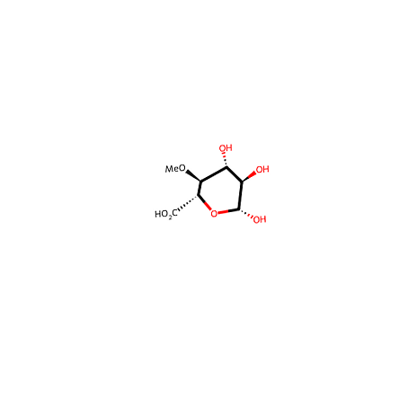 CO[C@H]1[C@H](O)[C@@H](O)[C@H](O)O[C@@H]1C(=O)O